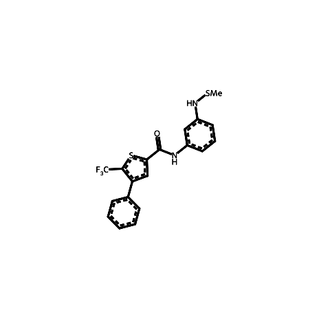 CSNc1cccc(NC(=O)c2cc(-c3ccccc3)c(C(F)(F)F)s2)c1